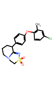 Cc1cc(Cl)ccc1Oc1ccc(C2CCCN3CCS(=O)(=O)N=C23)cc1